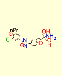 CCCOc1ccc(-c2nc(-c3ccc4oc(C(N)(CO)CO)cc4c3)no2)cc1Cl